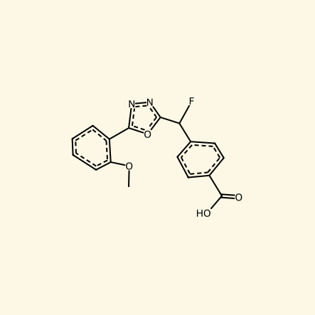 COc1ccccc1-c1nnc(C(F)c2ccc(C(=O)O)cc2)o1